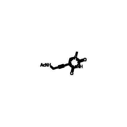 CC(=O)NCC#Cc1cn(C)c(=O)[nH]c1=O